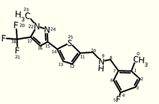 Cc1ccc(F)cc1CNCc1ccc(-c2cc(C(F)(F)F)n(C)n2)s1